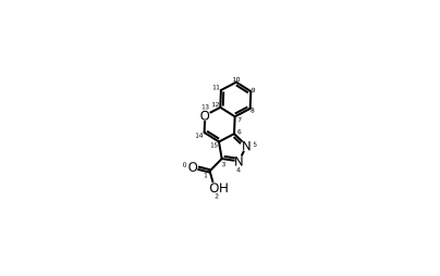 O=C(O)c1nnc2c3ccccc3occ1-2